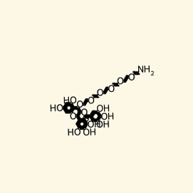 NCCOCCOCCOCCOCCOCCOC1c2c(O)cc(O)cc2OC(c2cc(O)c(O)c(O)c2)C1OC(=O)C1=CC(O)C(O)C(O)C1